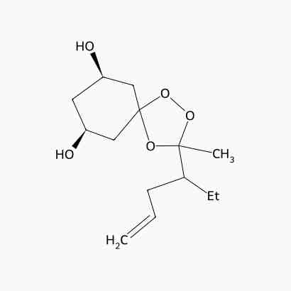 C=CCC(CC)C1(C)OOC2(C[C@H](O)C[C@H](O)C2)O1